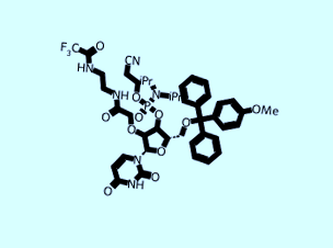 COc1ccc(C(OC[C@@H]2O[C@H](n3ccc(=O)[nH]c3=O)C(OCC(=O)NCCNC(=O)C(F)(F)F)C2OP(=O)(OCCC#N)N(C(C)C)C(C)C)(c2ccccc2)c2ccccc2)cc1